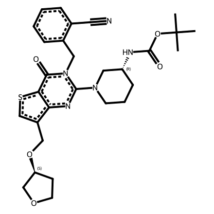 CC(C)(C)OC(=O)N[C@@H]1CCCN(c2nc3c(CO[C@H]4CCOC4)csc3c(=O)n2Cc2ccccc2C#N)C1